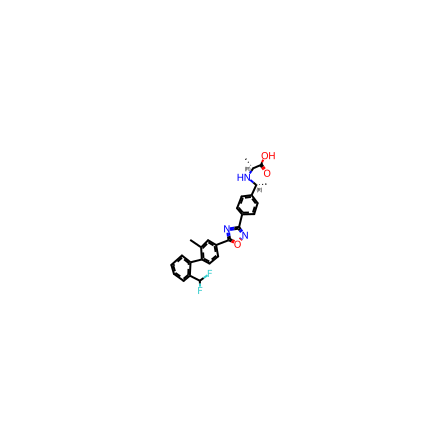 Cc1cc(-c2nc(-c3ccc([C@@H](C)N[C@H](C)C(=O)O)cc3)no2)ccc1-c1ccccc1C(F)F